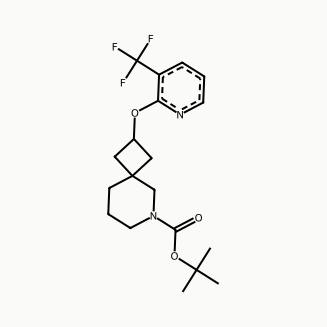 CC(C)(C)OC(=O)N1CCCC2(CC(Oc3ncccc3C(F)(F)F)C2)C1